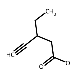 C#CC(CC)CC([O])=O